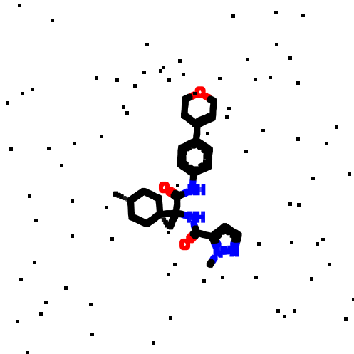 Cn1nccc1C(=O)NC1(C(=O)Nc2ccc(C3=CCOCC3)cc2)C[C@]12CC[C@@H](C)CC2